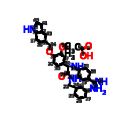 CC(=O)O.COc1cc([C@@H](Nc2ccc(C(=N)N)cc2)C(=O)NCc2ccccc2)ccc1OCc1ccc2[nH]ccc2c1